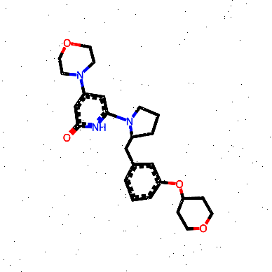 O=c1cc(N2CCOCC2)cc(N2CCCC2Cc2cccc(OC3CCOCC3)c2)[nH]1